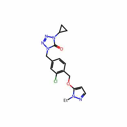 CCn1nccc1OCc1ccc(Cn2nnn(C3CC3)c2=O)cc1Cl